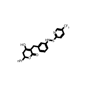 CCCC1CC(O)=C(Cc2cccc(NSc3ccc(C(F)(F)F)cn3)c2)C(=O)O1